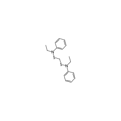 CCN(SCSN(CC)c1ccccc1)c1ccccc1